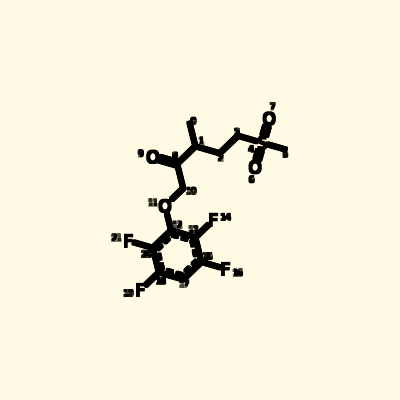 CC(CCS(C)(=O)=O)C(=O)COc1c(F)c(F)cc(F)c1F